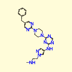 CNCCn1cc(Nc2ncnc(N3CCN(c4ncc(Cc5ccccc5)cn4)CC3)n2)cn1